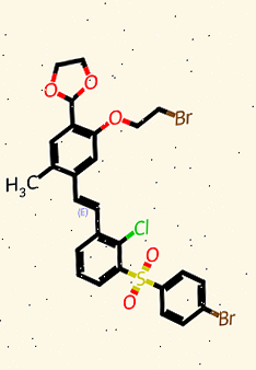 Cc1cc(C2OCCO2)c(OCCBr)cc1/C=C/c1cccc(S(=O)(=O)c2ccc(Br)cc2)c1Cl